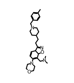 Cc1ccc(CN2CCC(CCC3=NOC4C(CN(C)C)=C(N5CCOCC5)C=CC34)CC2)cc1